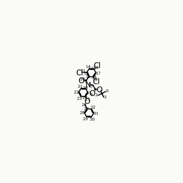 CC(C)(C)OC(=O)CN(C(=O)c1c(Cl)cc(Cl)cc1Cl)c1cccc(OCc2ccccc2)c1